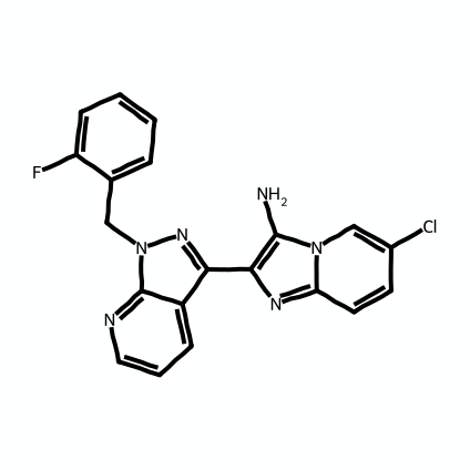 Nc1c(-c2nn(Cc3ccccc3F)c3ncccc23)nc2ccc(Cl)cn12